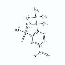 CC(C)(C)C(C)(C)c1ccc([N+](=O)[O-])cc1S(C)(=O)=O